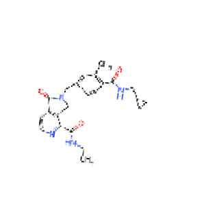 CCNC(=O)c1nccc2c1CN(Cc1ccc(C(=O)NCC3CC3)c(C)c1)C2=O